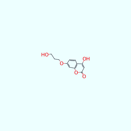 O=c1cc(O)c2ccc(OCCCO)cc2o1